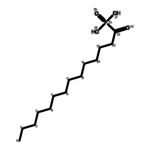 CCCCCCCCCCCCCC(=O)P(=O)(O)O